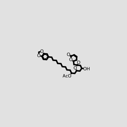 CC(=O)OC(CCCCCCCCCc1ccc2c(c1)OCO2)CC1CC(O)CC2(CC3OC(=O)C=CC3O2)O1